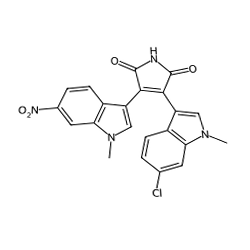 Cn1cc(C2=C(c3cn(C)c4cc([N+](=O)[O-])ccc34)C(=O)NC2=O)c2ccc(Cl)cc21